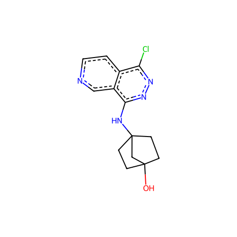 OC12CCC(Nc3nnc(Cl)c4ccncc34)(CC1)C2